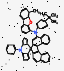 Cc1cccc2c1oc1c(N(c3ccc([Si](C)(C)C)cc3)c3cc4c(c5ccccc35)-c3c(ccc5ccccc35)C43c4ccccc4N(c4ccccc4)c4ccccc43)cccc12